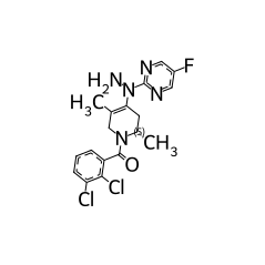 CC1=C(N(N)c2ncc(F)cn2)C[C@H](C)N(C(=O)c2cccc(Cl)c2Cl)C1